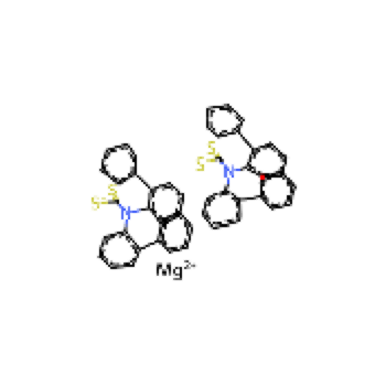 S=C([S-])N(c1ccccc1-c1ccccc1)c1ccccc1-c1ccccc1.S=C([S-])N(c1ccccc1-c1ccccc1)c1ccccc1-c1ccccc1.[Mg+2]